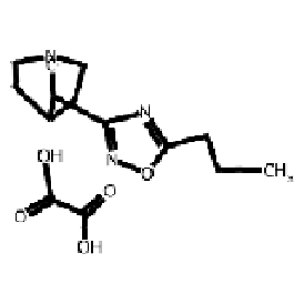 CCCc1nc(C2[CH]N3[CH][CH]C2CC3)no1.O=C(O)C(=O)O